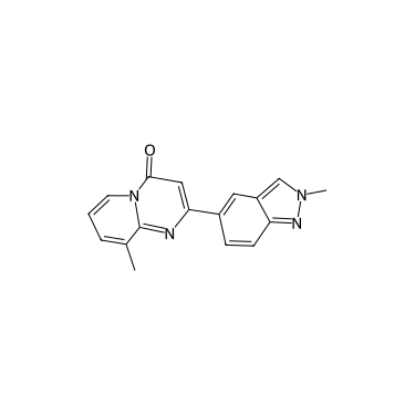 Cc1cccn2c(=O)cc(-c3ccc4nn(C)cc4c3)nc12